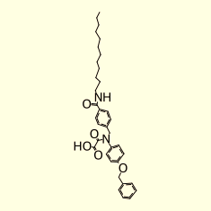 CCCCCCCCCCCCNC(=O)c1ccc(CN(C(=O)C(=O)O)c2ccc(OCc3ccccc3)cc2)cc1